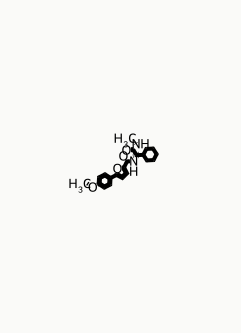 CNC(=O)[C@@H](NC(=O)c1ccc(-c2ccc(OC)cc2)o1)C1CCCCC1